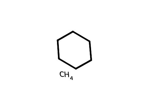 C.C1CCCCC1